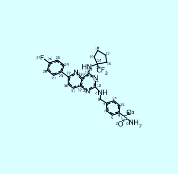 NS(=O)(=O)c1ccc(CNc2nc(NC3(C(F)(F)F)CCCC3)c3nc(-c4ccc(F)cc4)ccc3n2)cc1